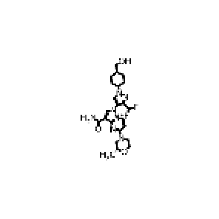 C[C@@H]1CN(c2cc[n+]3c(n2)c(C(N)=O)cn3-c2cn(C3CCC(CO)CC3)nc2C(F)F)CCO1